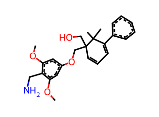 COc1cc(OCC2(CO)C=CC=C(c3ccccc3)C2(C)C)cc(OC)c1CN